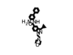 Nc1ccc(-c2ccccc2)cc1NC(=O)c1ccc2c(c1)c(C1CC1)nn2CCN1CCOCC1